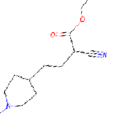 CCOC(=O)C(C#N)CCC1CCN(C)CC1